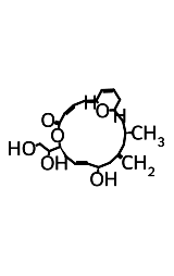 C=C1C[C@H](C)C[C@@H]2CC=C[C@@H](C/C=C\C(=O)O[C@H]([C@@H](O)CO)C/C=C/[C@H](O)C1)O2